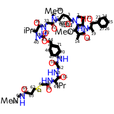 CC[C@@H](C)C(C(CC(=O)N1CCCC1C(OC)C(C)C(=O)NC(C)C(O)c1ccccc1)OC)N(C)C(=O)CNC(=O)C(C(C)C)N(C)C(=O)OCc1ccc(NC(=O)CNC(=O)C(NC(=O)CSCCC(=O)NCNC)C(C)C)cc1